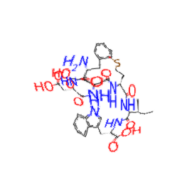 CC[C@H](C)[C@H](NC(=O)[C@H](CCSC)NC(=O)[C@H](CC(=O)O)NC(=O)[C@H](CC(=O)O)NC(=O)[C@H](N)Cc1ccccc1)C(=O)N[C@@H](Cc1c[nH]c2ccccc12)C(=O)O